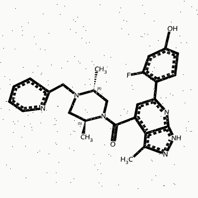 Cc1n[nH]c2nc(-c3ccc(O)cc3F)cc(C(=O)N3C[C@@H](C)N(Cc4ccccn4)C[C@@H]3C)c12